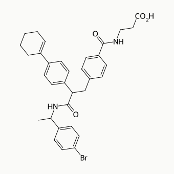 CC(NC(=O)C(Cc1ccc(C(=O)NCCC(=O)O)cc1)c1ccc(C2=CCCCC2)cc1)c1ccc(Br)cc1